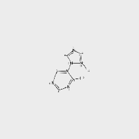 Ic1ncncc1-n1cnc[n+]1I